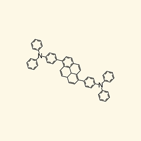 C1=CC2C=Cc3c(-c4ccc(N(c5ccccc5)c5ccccc5)cc4)ccc4c3C2C(=C1c1ccc(N(c2ccccc2)c2ccccc2)cc1)C=C4